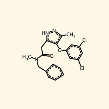 Cc1n[nH]c(CC(=O)N(C)Cc2ccccc2)c1Oc1cc(Cl)cc(Cl)c1